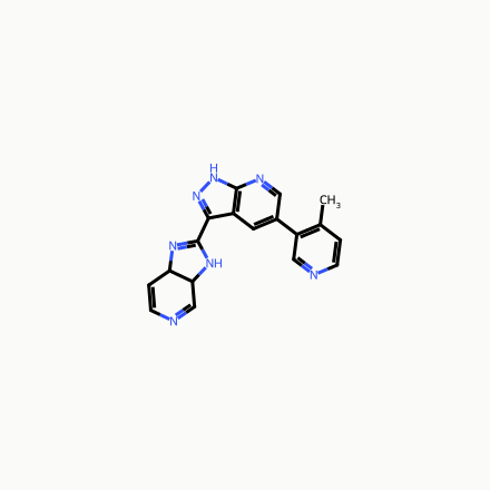 Cc1ccncc1-c1cnc2[nH]nc(C3=NC4C=CN=CC4N3)c2c1